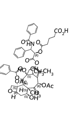 CC(=O)O[C@H]1C(=O)[C@@]2(C)[C@H]([C@H](OC(=O)c3ccccc3)[C@]3(O)C[C@H](OC(=O)[C@H](OC(=O)CCCC(=O)O)C(NC(=O)c4ccccc4)c4ccccc4)C(C)=C1C3(C)C)[C@]1(OC(C)=O)CO[C@@H]1C[C@@H]2O